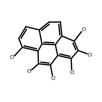 Clc1c(Cl)c2ccc3ccc(Cl)c4c(Cl)c(Cl)c(c1Cl)c2c34